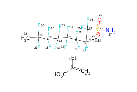 C=C(CC)C(=O)O.CCCCC(F)(C(F)(F)C(F)(F)C(F)(F)C(F)(F)C(F)(F)C(F)(F)F)C(F)(F)S(N)(=O)=O